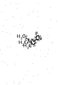 C=CN(CCCC)c1nc(-c2cncc(F)c2)ccc1C